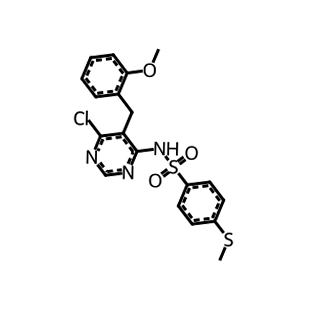 COc1ccccc1Cc1c(Cl)ncnc1NS(=O)(=O)c1ccc(SC)cc1